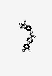 O=C(COc1ccc2[nH]c(=O)[nH]c2c1)N1CCN(c2ccc(Cl)c(Cl)c2)CC1